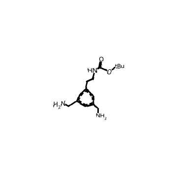 CC(C)(C)OC(=O)NCCc1cc(CN)cc(CN)c1